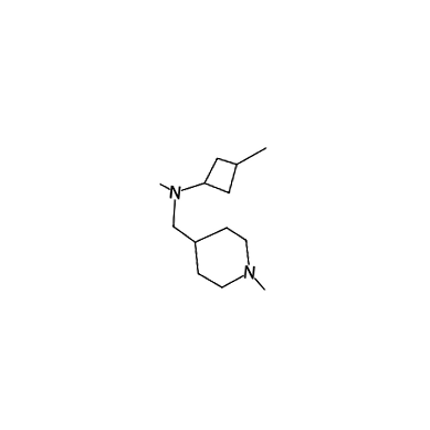 CC1CC(N(C)CC2CCN(C)CC2)C1